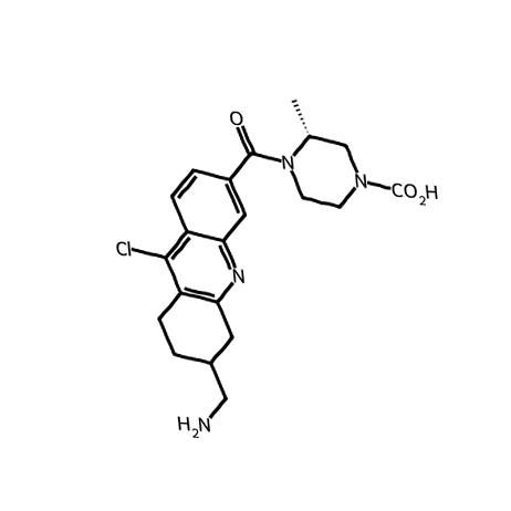 C[C@@H]1CN(C(=O)O)CCN1C(=O)c1ccc2c(Cl)c3c(nc2c1)CC(CN)CC3